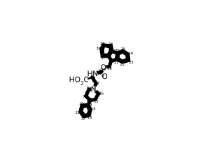 O=C(N[C@@H](CN1CCC(c2ccccc2)CC1)C(=O)O)OCC1c2ccccc2-c2ccccc21